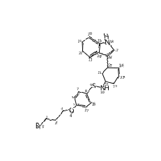 BrCCCOc1ccc(SNC2CCCC(c3c[nH]c4ccccc34)C2)cc1